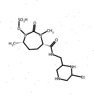 CCC1CNCC(CNC(=O)[C@@H]2CC[C@H](C)N(OS(=O)(=O)O)C(=O)N2C)N1